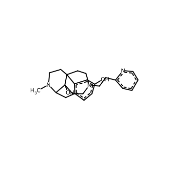 CN1CCC23CCN(CCc4ccccn4)CCC2(O)C1Cc1ccc(O)cc13